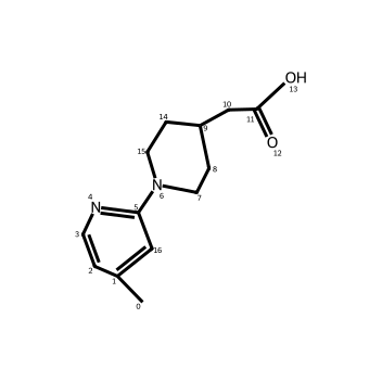 Cc1ccnc(N2CCC(CC(=O)O)CC2)c1